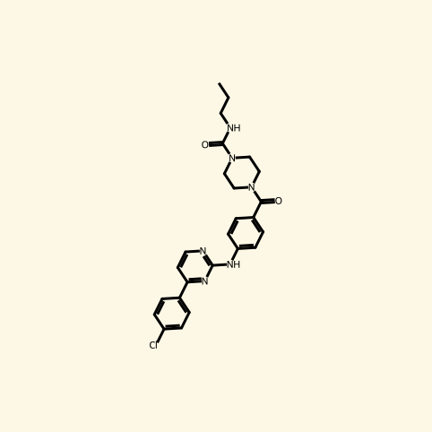 CCCNC(=O)N1CCN(C(=O)c2ccc(Nc3nccc(-c4ccc(Cl)cc4)n3)cc2)CC1